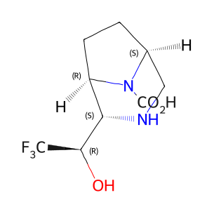 O=C(O)N1[C@H]2CC[C@@H]1[C@@H]([C@@H](O)C(F)(F)F)NC2